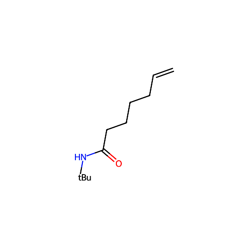 C=CCCCCC(=O)NC(C)(C)C